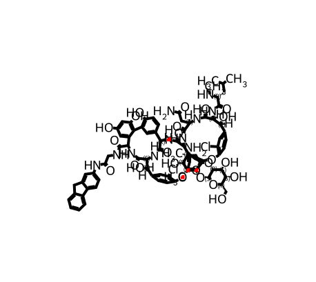 CN[C@H](CC(C)C)C(=O)N[C@H]1C(=O)N[C@@H](CC(N)=O)C(=O)NC2C(=O)N[C@H]3C(=O)N[C@H](C(=O)NC(C(=O)NCC(=O)Nc4ccc5c(c4)Cc4ccccc4-5)c4cc(O)cc(O)c4-c4cc3ccc4O)[C@H](O)c3ccc(c(Cl)c3)Oc3cc2cc(c3O[C@@H]2O[C@H](CO)[C@@H](O)[C@H](O)[C@H]2OC2C[C@](C)(N)[C@H](O)[C@H](C)O2)Oc2ccc(cc2Cl)[C@H]1O